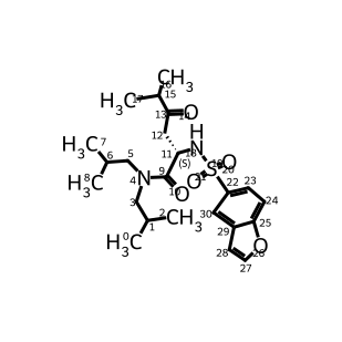 CC(C)CN(CC(C)C)C(=O)[C@H](CC(=O)C(C)C)NS(=O)(=O)c1ccc2occc2c1